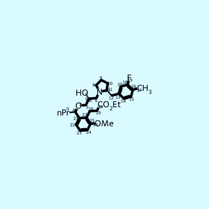 CCC[C@@H](OC[C@H](O)CN1CCC[C@H]1Cc1ccc(C)c(F)c1)c1cccc(OC)c1CCC(=O)OCC